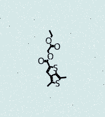 CCOC(=O)COC(=O)c1cc2c(C)sc(C)c2s1